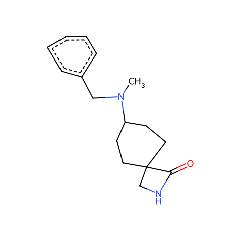 CN(Cc1ccccc1)C1CCC2(CC1)CNC2=O